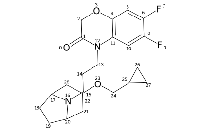 O=C1COc2cc(F)c(F)cc2N1CCCN1C2CCC1CC(OCC1CC1)C2